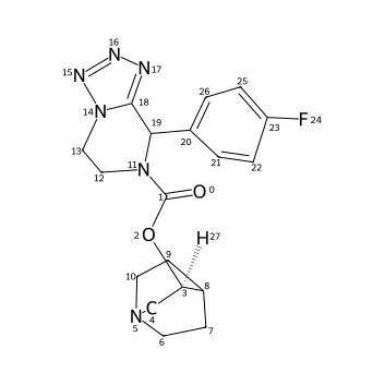 O=C(O[C@@H]1CN2CCC1CC2)N1CCn2nnnc2C1c1ccc(F)cc1